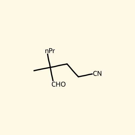 CCCC(C)(C=O)CCC#N